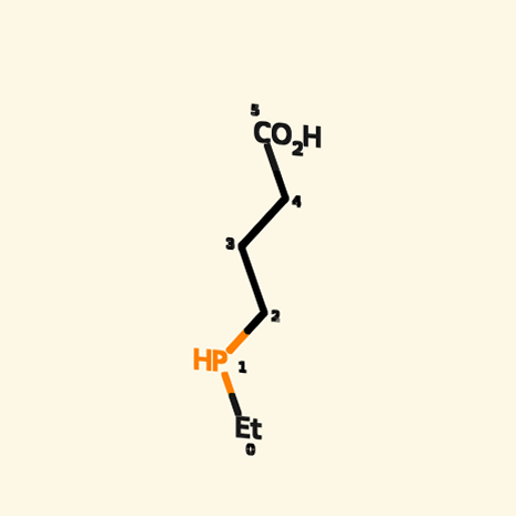 CCPCCCC(=O)O